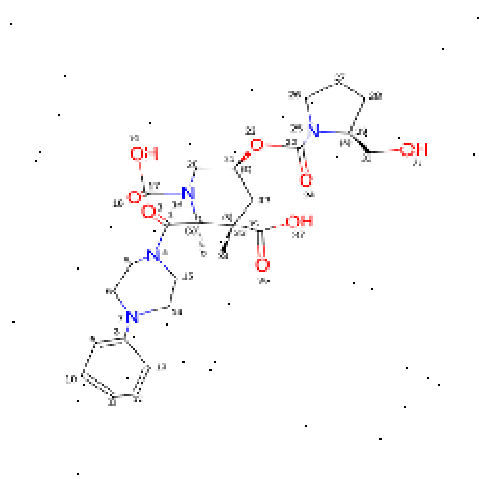 C[C@]1(C(=O)N2CCN(c3ccccc3)CC2)N(C(=O)O)C[C@@H](OC(=O)N2CCC[C@H]2CO)C[C@]1(C)C(=O)O